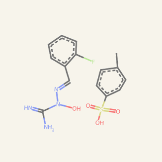 Cc1ccc(S(=O)(=O)O)cc1.N=C(N)N(O)N=Cc1ccccc1F